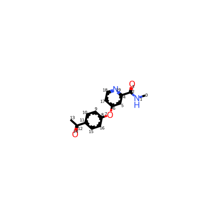 CNC(=O)c1cc(Oc2ccc(C(C)=O)cc2)ccn1